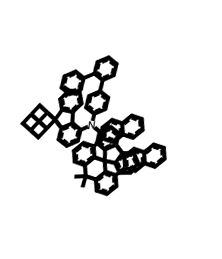 CC1(C)c2cccc(-c3ccc4ccccc4c3)c2C2(c3ccccc3-c3ccc(N(c4ccc(-c5ccccc5-c5ccccc5)cc4)c4cccc5c4-c4ccccc4C54C5CC6CC7CC4C675)cc32)c2c(-c3ccc4ccccc4c3)cccc21